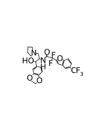 O=C(NC(CN1CCCC1)C(O)c1ccc2c(c1)OCCO2)C(F)(F)c1cc2cc(C(F)(F)F)ccc2o1